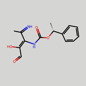 CC(=N)/C(NC(=O)O[C@H](C)c1ccccc1)=C(\O)C=O